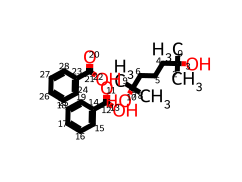 CC(C)(O)CCCC(C)(C)O.O=C(O)c1ccccc1.O=C(O)c1ccccc1